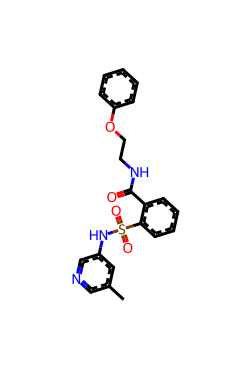 Cc1cncc(NS(=O)(=O)c2ccccc2C(=O)NCCOc2ccccc2)c1